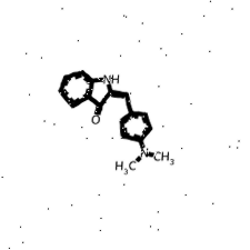 CN(C)c1ccc(C=C2Nc3ccccc3C2=O)cc1